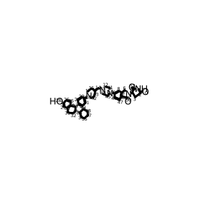 O=C1CC[C@@H](N2Cc3cc(N4CCN(CC5CCN(c6ccc([C@H]7c8ccc(O)cc8CC[C@H]7C7CCCCC7)cc6)CC5)CC4)ccc3C2=O)C(=O)N1